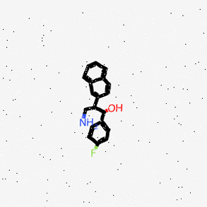 NCC(c1ccc2ccccc2c1)C(O)c1ccc(F)cc1